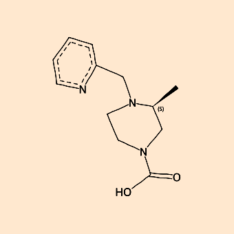 C[C@H]1CN(C(=O)O)CCN1Cc1ccccn1